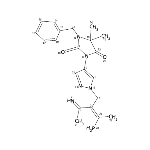 CC(=N)/C(Cn1cc(N2C(=O)N(Cc3ccccc3)C(C)(C)C2=O)cn1)=C(/C)P